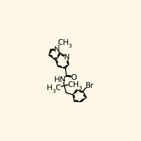 Cn1ccc2cc(C(=O)NC(C)(C)Cc3cccc(Br)c3)cnc21